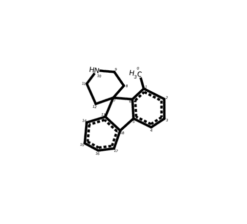 Cc1cccc2c1C1(CCNCC1)c1ccccc1-2